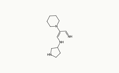 N=C/C(=C\NC1CCNC1)N1CCCCC1